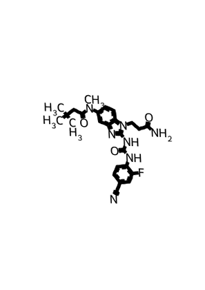 CN(C(=O)CC(C)(C)C)c1ccc2c(c1)nc(NC(=O)Nc1ccc(C#N)cc1F)n2CCC(N)=O